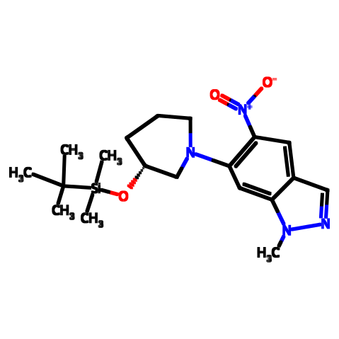 Cn1ncc2cc([N+](=O)[O-])c(N3CCC[C@@H](O[Si](C)(C)C(C)(C)C)C3)cc21